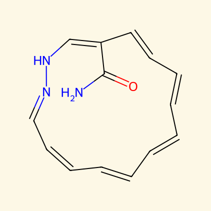 NC(=O)C1=C\N/N=C/C=C\C=C\C=C\C=C\C=C\1